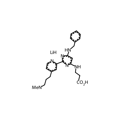 CNCCCc1ccnc(-c2nc(NCCC(=O)O)cc(NCc3ccccc3)n2)c1.[LiH]